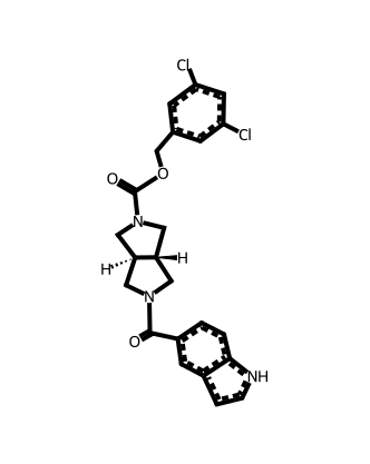 O=C(OCc1cc(Cl)cc(Cl)c1)N1C[C@@H]2CN(C(=O)c3ccc4[nH]ccc4c3)C[C@H]2C1